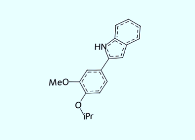 COc1cc(-c2cc3ccccc3[nH]2)ccc1OC(C)C